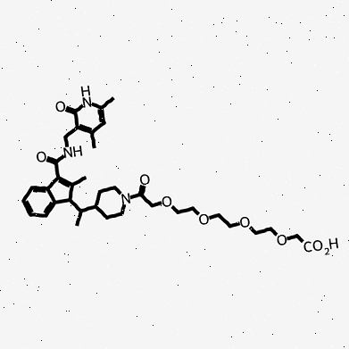 CC1=C(C(=O)NCc2c(C)cc(C)[nH]c2=O)c2ccccc2C1C(C)C1CCN(C(=O)COCCOCCOCCOCC(=O)O)CC1